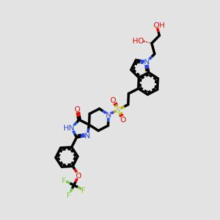 O=C1NC(c2cccc(OC(F)(F)F)c2)=NC12CCN(S(=O)(=O)CCc1cccc3c1ccn3C[C@H](O)CO)CC2